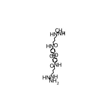 CC(=N)NCCCCC(=O)Nc1ccc(S(=O)(=O)c2ccc(NC(=O)CCCCNC(=N)N)cc2)cc1